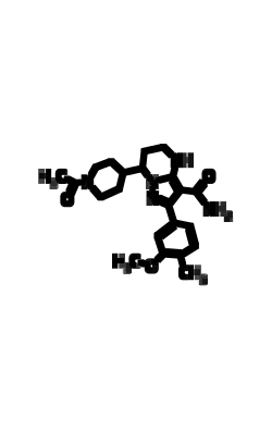 COc1cc(-c2nn3c(c2C(N)=O)NCCC3C2CCN(C(C)=O)CC2)ccc1C